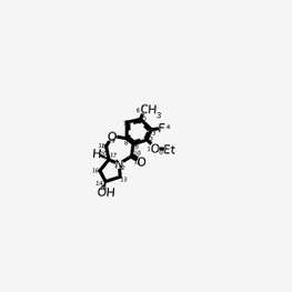 CCOc1c(F)c(C)cc2c1C(=O)N1C[C@@H](O)C[C@@H]1CO2